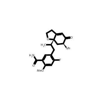 CCC[C@H]1C[C@]2(C(C)Cc3cc(C(N)=O)c(OC)cc3F)OCCC2=CC1=O